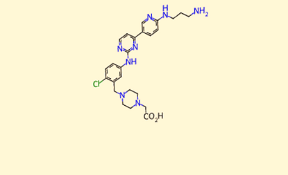 NCCCNc1ccc(-c2ccnc(Nc3ccc(Cl)c(CN4CCN(CC(=O)O)CC4)c3)n2)cn1